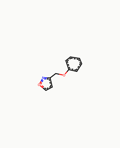 [c]1ccccc1OCc1ccon1